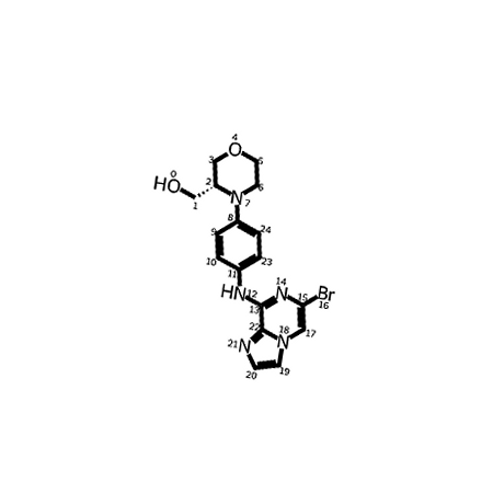 OC[C@@H]1COCCN1c1ccc(Nc2nc(Br)cn3ccnc23)cc1